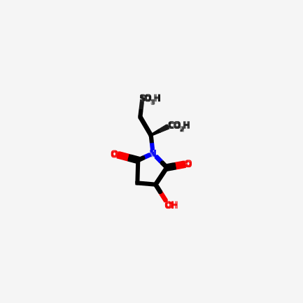 O=C(O)[C@H](CS(=O)(=O)O)N1C(=O)CC(O)C1=O